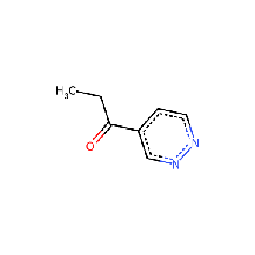 CCC(=O)c1ccnnc1